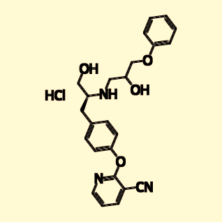 Cl.N#Cc1cccnc1Oc1ccc(C[C@@H](CO)NCC(O)COc2ccccc2)cc1